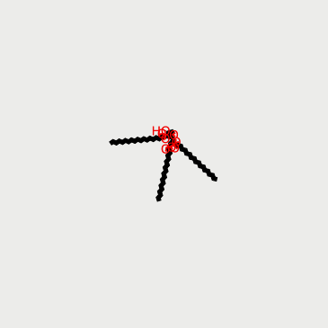 CCCCCCCCCCCCCCCCCC(=O)OCC(OC(=O)CCCCCCCCCCCCCCCCC)[C@H]1OC[C@@H](O)[C@@H]1OC(=O)CCCCCCCCCCCCCCCCC